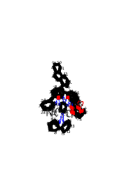 N#Cc1c(-n2c3ccccc3c3ccccc32)c(C#N)c(-n2c3ccccc3c3ccccc32)c(-n2c3cccc(-c4cccc5c4ccc4ccccc45)c3c3ccc4oc5ccccc5c4c32)c1-n1c2ccccc2c2ccccc21